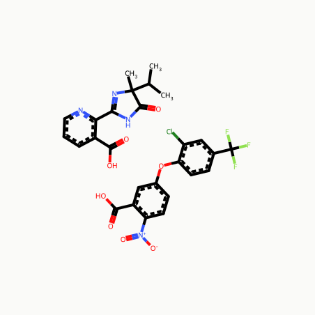 CC(C)C1(C)N=C(c2ncccc2C(=O)O)NC1=O.O=C(O)c1cc(Oc2ccc(C(F)(F)F)cc2Cl)ccc1[N+](=O)[O-]